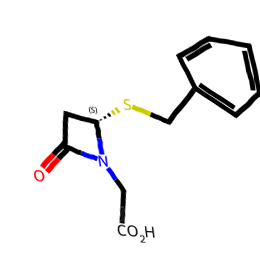 O=C(O)CN1C(=O)C[C@@H]1SCc1ccccc1